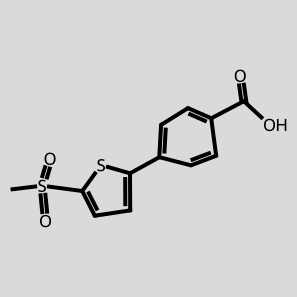 CS(=O)(=O)c1ccc(-c2ccc(C(=O)O)cc2)s1